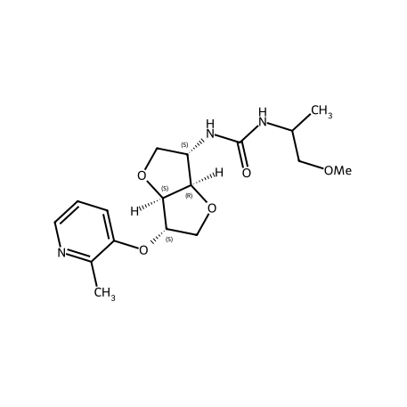 COCC(C)NC(=O)N[C@H]1CO[C@H]2[C@@H]1OC[C@@H]2Oc1cccnc1C